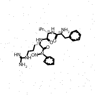 CC(C)[C@H](NC(=O)[C@@H](N)Cc1ccccc1)C(=O)N[C@@H](CCCNC(=N)N)C(=O)N([N+]=O)c1ccccc1